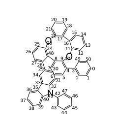 c1ccc(-c2cccc3c2Oc2ccccc2-c2ccccc2Oc2cccc(-c4ccc5c(c4)c4ccccc4n5-c4ccccc4)c2-3)cc1